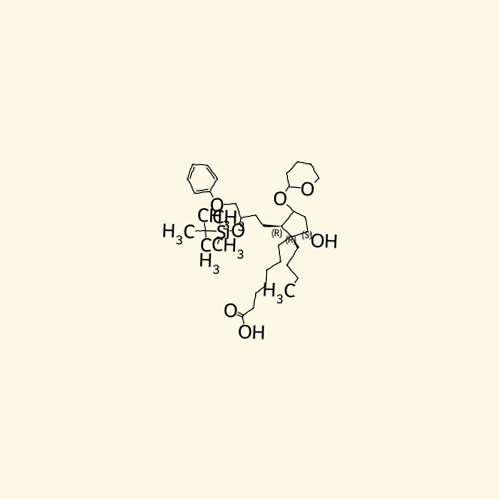 CCCC[C@]1(CCCCCCC(=O)O)[C@@H](O)CC(OC2CCCCO2)[C@@H]1CCC(COc1ccccc1)O[Si](C)(C)C(C)(C)C